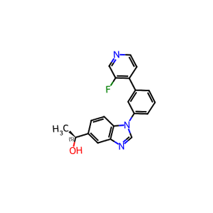 C[C@H](O)c1ccc2c(c1)ncn2-c1cccc(-c2ccncc2F)c1